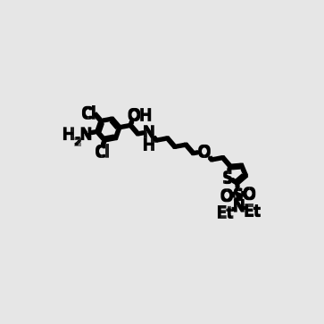 CCN(CC)S(=O)(=O)c1ccc(CCOCCCCCNCC(O)c2cc(Cl)c(N)c(Cl)c2)s1